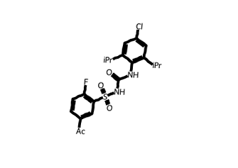 CC(=O)c1ccc(F)c(S(=O)(=O)NC(=O)Nc2c(C(C)C)cc(Cl)cc2C(C)C)c1